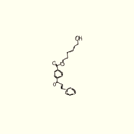 O=C(/C=C/c1ccccc1)c1ccc(C(=O)OCCCCCCO)cc1